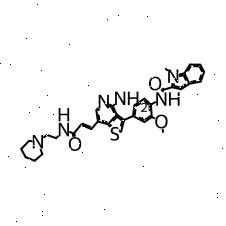 COc1cc(-c2csc3c(C=CC(=O)NCCN4CCCCC4)cnc(N)c23)ccc1NC(=O)c1cc2ccccc2n1C